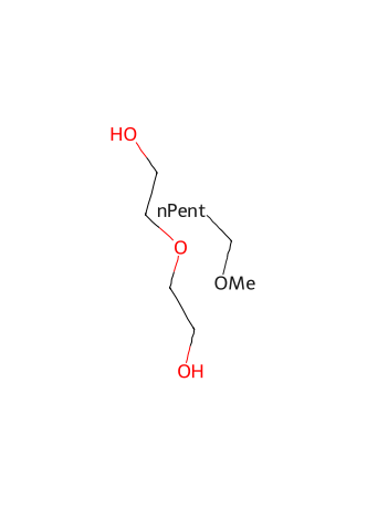 CCCCCCOC.OCCOCCO